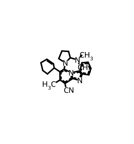 Cc1c(C2C=CCCC2)c(N2CCCC2N(C)C)n2c(nc3ccccc32)c1C#N